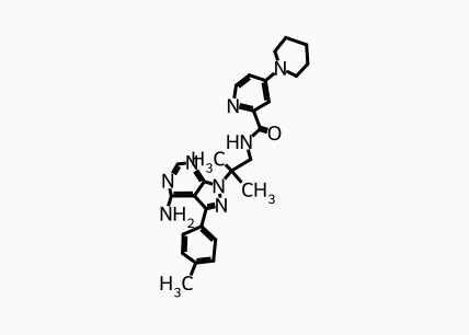 Cc1ccc(-c2nn(C(C)(C)CNC(=O)c3cc(N4CCCCC4)ccn3)c3ncnc(N)c23)cc1